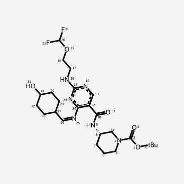 CC(C)(C)OC(=O)N1CCC[C@H](NC(=O)c2cnc(NCCOC(F)F)nc2/N=C\C2CCC(O)CC2)C1